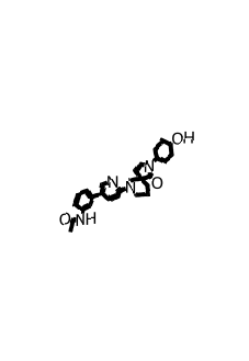 CC(=O)Nc1cccc(-c2ccc(N3CCCC4(CCN(C5CCC(O)CC5)C4=O)C3)nc2)c1